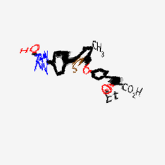 CCO[C@@H](Cc1ccc(OCc2sc(-c3ccc(-c4nnn(CO)n4)cc3)cc2C)cc1)C(=O)O